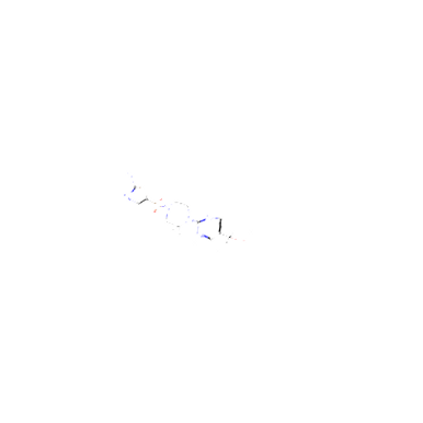 C[C@H]1CN(S(=O)(=O)c2cnc(N)s2)CCN1c1ncc(C(C)(C)O)cn1